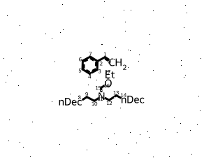 C=Cc1ccccc1.CCCCCCCCCCCCN(CCCCCCCCCCCC)COCC